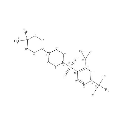 CC1(O)CCC(N2CCN(S(=O)(=O)c3cnc(C(F)(F)F)cc3C3CC3)CC2)CC1